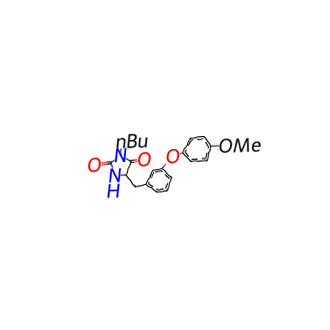 CCCCN1C(=O)NC(Cc2cccc(Oc3ccc(OC)cc3)c2)C1=O